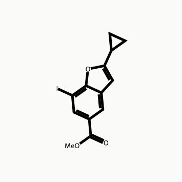 COC(=O)c1cc(I)c2oc(C3CC3)cc2c1